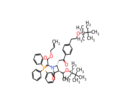 C=CCOC(=O)C(N1C(=O)[C@H](C(C)O[Si](C)(C)C(C)(C)C)[C@H]1CC(=O)c1ccc(CCO[Si](C)(C)C(C)(C)C)cc1)=P(c1ccccc1)(c1ccccc1)c1ccccc1